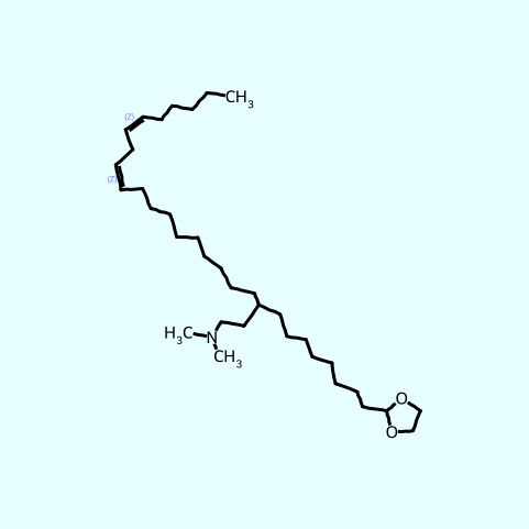 CCCCC/C=C\C/C=C\CCCCCCCCCC(CCCCCCCCC1OCCO1)CCN(C)C